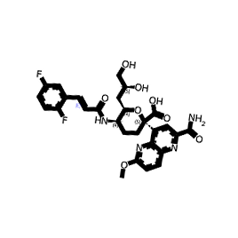 COc1ccc2nc(C(N)=O)cc([C@]3(C(=O)O)CC[C@@H](NC(=O)/C=C/c4cc(F)ccc4F)[C@@H](C[C@H](O)CO)O3)c2n1